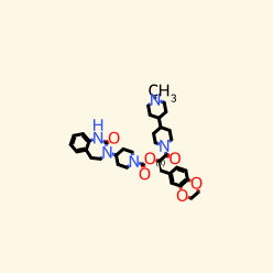 CN1CCC(C2CCN(C(=O)[C@@H](Cc3ccc4c(c3)OCCO4)OC(=O)N3CCC(N4CCc5ccccc5NC4=O)CC3)CC2)CC1